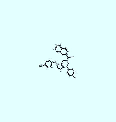 Cc1ccc(CCN(Cc2nncn2Cc2ccc(C#N)cc2)C(=O)c2ccc3ncccc3c2)cc1